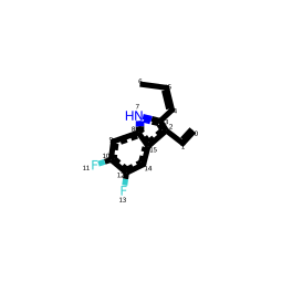 C=Cc1c(/C=C\C)[nH]c2cc(F)c(F)cc12